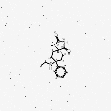 CCN[C@]1(c2ccccc2)CC[C@]2(CC1)NC(=O)NC2=O